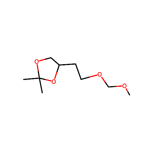 COCOCCC1COC(C)(C)O1